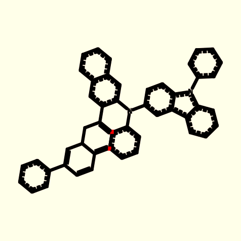 C1=CC2=CC=C(c3cc4ccccc4cc3N(c3ccccc3)c3ccc4c(c3)c3ccccc3n4-c3ccccc3)CC2C=C1c1ccccc1